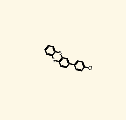 Clc1ccc(-c2ccc3c(c2)Sc2ccccc2S3)cc1